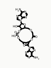 Nc1ncnc2c1ncn2C1OC2COCC(=O)OC3C(O)C(COP(=O)(O)OC2C1O)OC3n1cnc2c(N)ncnc21